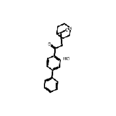 Cl.O=C(CC1CN2CCC1CC2)c1ccc(-c2ccccc2)cc1